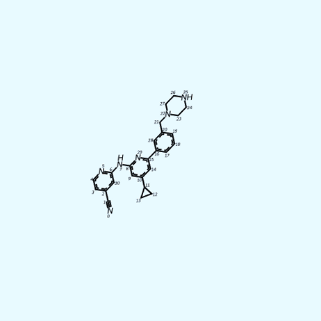 N#Cc1ccnc(Nc2cc(C3CC3)cc(-c3cccc(CN4CCNCC4)c3)n2)c1